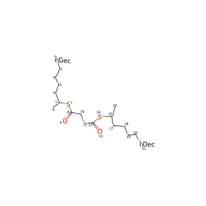 CCCCCCCCCCCCCCC(C)SC(=O)CCC(=O)SC(C)CCCCCCCCCCCCCC